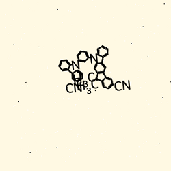 CC1(C)c2ccc(C#N)cc2-c2cc3c4ccccc4n(-c4cccc(-n5c6ccccc6c6cc(C#N)ccc65)c4)c3cc21